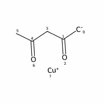 [CH2-]C(=O)CC(C)=O.[Cu+]